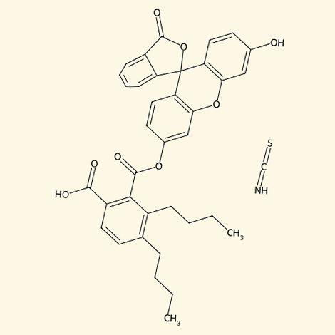 CCCCc1ccc(C(=O)O)c(C(=O)Oc2ccc3c(c2)Oc2cc(O)ccc2C32OC(=O)c3ccccc32)c1CCCC.N=C=S